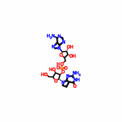 Nc1nc2c(ccn2[C@@H]2OC(CO)[C@@H](O)[C@H]2OP(=O)(O)OCC2O[C@@H](n3cnc4c(N)ncnc43)[C@H](O)[C@@H]2O)c(=O)[nH]1